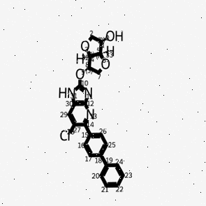 O[C@@H]1CO[C@H]2[C@@H]1OC[C@@H]2Oc1nc2nc(-c3ccc(-c4ccccc4)cc3)c(Cl)cc2[nH]1